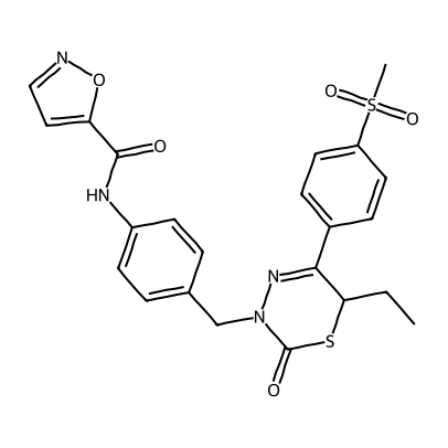 CCC1SC(=O)N(Cc2ccc(NC(=O)c3ccno3)cc2)N=C1c1ccc(S(C)(=O)=O)cc1